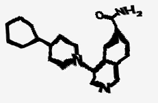 NC(=O)c1ccc2cncc(N3CCC(C4CCCCC4)CC3)c2c1